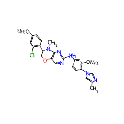 COc1ccc(C2COc3cnc(Nc4ccc(-n5cnc(C)c5)c(OC)c4)nc3N2C)c(Cl)c1